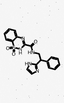 O=C(NCC(c1ccccc1)c1ncc[nH]1)C1=Nc2ccccc2S(=O)(=O)N1